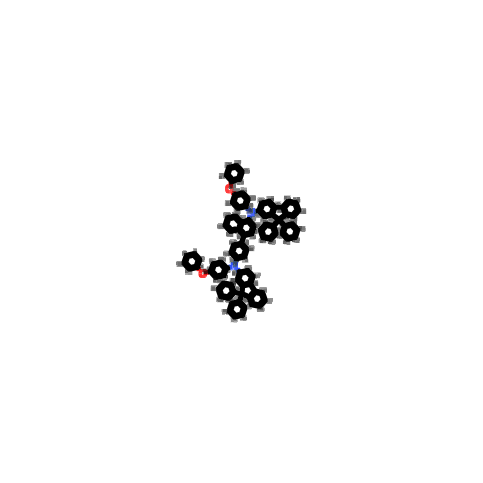 c1ccc(Oc2ccc(N(c3ccc(-c4ccc(N(c5ccc(Oc6ccccc6)cc5)c5ccc6c(c5)C(c5ccccc5)(c5ccccc5)c5ccccc5-6)c5ccccc45)cc3)c3ccc4c(c3)C(c3ccccc3)(c3ccccc3)c3ccccc3-4)cc2)cc1